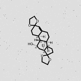 CC[C@]12C[C@H](O)[C@H]3[C@@H](CCC4=CC5(CC[C@@H]43)OCCO5)[C@@H]1CCC21OCCO1